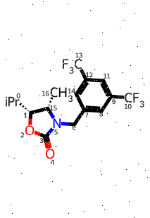 CC(C)[C@H]1OC(=O)N(Cc2cc(C(F)(F)F)cc(C(F)(F)F)c2)[C@H]1C